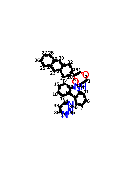 C1=COC=CO1.c1ccc2c(c1)[nH]c1ccccc12.c1ccc2cc3ccccc3cc2c1.c1cnnnc1